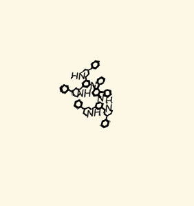 c1ccc(C2CCNC(c3cc(C4CC(c5ccccc5)CCN4)cc(-n4c5ccccc5c5c6c7ccccc7n(-c7cc(C8CC(c9ccccc9)CCN8)cc(C8CC(c9ccccc9)CCN8)c7)c6ccc54)c3)C2)cc1